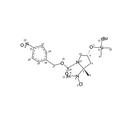 CC(=O)N(Cl)[C@@]1(C)C[C@@H](O[Si](C)(C)C(C)(C)C)CN1C(=O)OCc1ccc([N+](=O)[O-])cc1